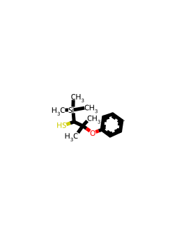 CC(C)(Oc1cc[c]cc1)C(S)[Si](C)(C)C